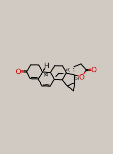 CC[C@]12CCC3C(C=CC4=CC(=O)CC[C@@H]43)C1C1CC1[C@@]21CCC(=O)O1